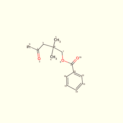 CC(C)C(=O)CC(C)(C)COC(=O)c1ccccc1